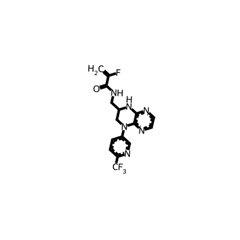 C=C(F)C(=O)NCC1CN(c2ccc(C(F)(F)F)nc2)c2nccnc2N1